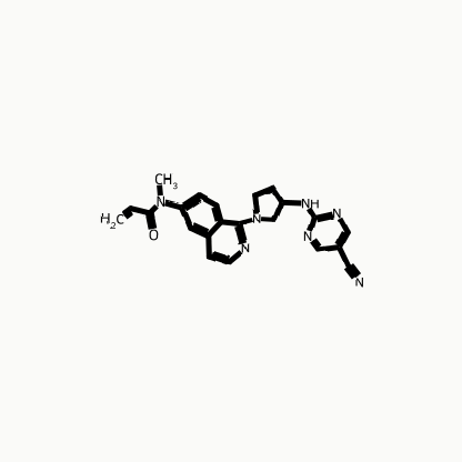 C=CC(=O)N(C)c1ccc2c(N3CCC(Nc4ncc(C#N)cn4)C3)nccc2c1